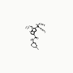 CN1CCC(NC(=O)c2csc3c2cc(/C(N)=N/O)n3CC(F)(F)F)CC1